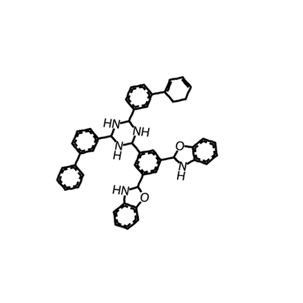 C1=CCCC(c2cccc(C3NC(c4cccc(-c5ccccc5)c4)NC(c4cc(C5Nc6ccccc6O5)cc(C5Nc6ccccc6O5)c4)N3)c2)=C1